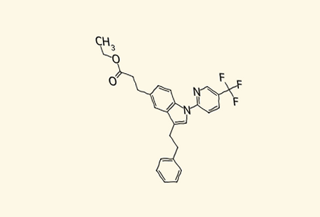 CCOC(=O)CCc1ccc2c(c1)c(CCc1ccccc1)cn2-c1ccc(C(F)(F)F)cn1